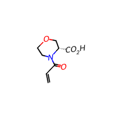 C=CC(=O)N1CCOC[C@@H]1C(=O)O